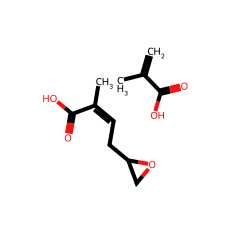 C=C(C)C(=O)O.CC(=CCC1CO1)C(=O)O